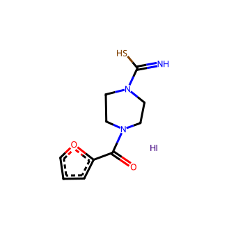 I.N=C(S)N1CCN(C(=O)c2ccco2)CC1